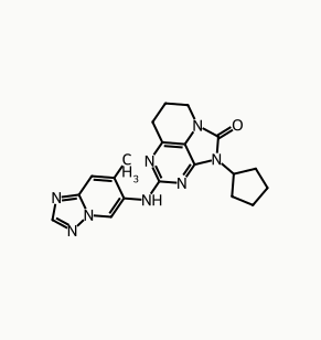 Cc1cc2ncnn2cc1Nc1nc2c3c(n1)n(C1CCCC1)c(=O)n3CCC2